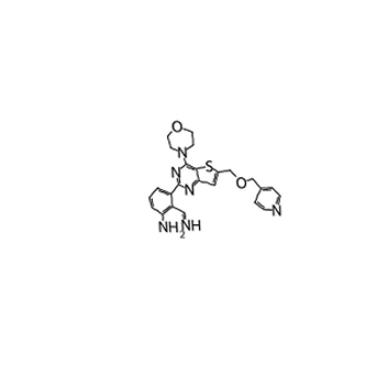 N=Cc1c(N)cccc1-c1nc(N2CCOCC2)c2sc(COCc3ccncc3)cc2n1